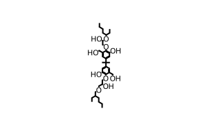 CCCCC(CC)COCC(O)COc1c(O)cc(C(C)(C)c2cc(O)c(OCC(O)OC(CC)CCCC)c(CO)c2)cc1CO